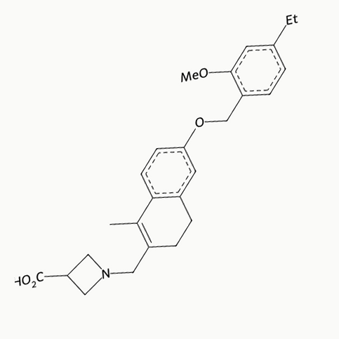 CCc1ccc(COc2ccc3c(c2)CCC(CN2CC(C(=O)O)C2)=C3C)c(OC)c1